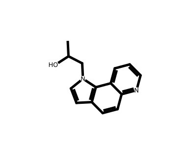 CC(O)Cn1ccc2ccc3ncccc3c21